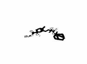 CC1C2CC(C1CCC(C)(C(=O)OC1(C)C3CC4CC(C3)CC1C4)C(F)(F)F)C(C(=O)OC(C)(C)C)(C(F)(F)F)C2